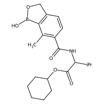 Cc1c(C(=O)NC(C(=O)OC2CCCCC2)C(C)C)ccc2c1B(O)OC2